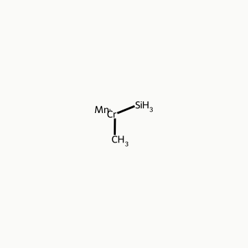 [CH3][Cr][SiH3].[Mn]